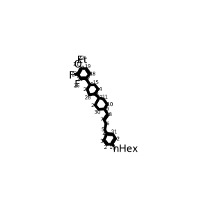 CCCCCCc1ccc(CC/C=C/C2CCC(C3CCC(c4ccc(OCC)c(F)c4F)CC3)CC2)cc1